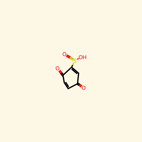 O=C1C=CC(=O)C(S(=O)O)=C1